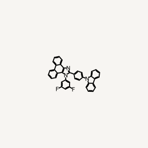 Fc1cc(F)cc(-n2c(-c3ccc(-n4c5ccccc5c5ccccc54)cc3)nc3c4ccccc4c4ccccc4c32)c1